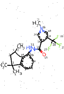 CC1CC(C)(C)c2cccc(NC(=O)c3cn(C)cc3C(F)(F)F)c21